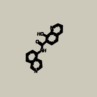 O=C(Nc1cccc2cnccc12)c1ccc2cccnc2c1O